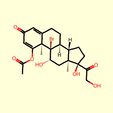 CC(=O)OC1=CC(=O)C=C2CC[C@H]3[C@@H]4CC[C@](O)(C(=O)CO)[C@@]4(C)C[C@H](O)[C@]3(Br)[C@]21C